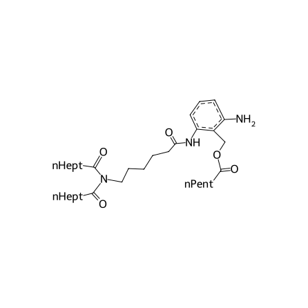 CCCCCCCC(=O)N(CCCCCC(=O)Nc1cccc(N)c1COC(=O)CCCCC)C(=O)CCCCCCC